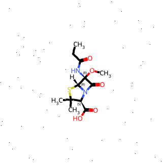 CCC(=O)N[C@@]1(OC)C(=O)N2[C@@H](C(=O)O)C(C)(C)S[C@@H]21